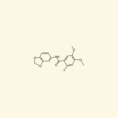 COc1cc(F)c(C(=O)Nc2ccc3c(c2)OCO3)cc1OC